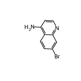 Nc1ccnc2cc(Br)ccc12